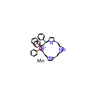 [Mn].[O-][N+]1(c2ccccc2)C2=C(c3ccccc3)C(c3ccccc3)=C1C(c1ccccc1)=C1C=CC(=N1)C=c1ccc([nH]1)=CC1=NC(=C2)C=C1